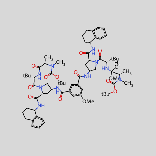 COc1cc(C(=O)N[C@H]2C[C@@H](C(=O)N[C@@H]3CCCc4ccccc43)N(C(=O)[C@@H](NC(=O)[C@H](C)N(C)C(=O)OC(C)(C)C)C(C)(C)C)C2)cc(C(=O)N[C@H]2C[C@@H](C(=O)N[C@@H]3CCCc4ccccc43)N(C(=O)[C@@H](NC(C)(OC)[C@H](C)N(C)C(=O)OC(C)(C)C)C(C)(C)C)C2)c1